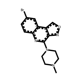 CN1CCN(c2nc3ccc(Br)cc3c3conc23)CC1